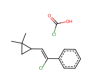 CC1(C)CC1C=C(Cl)c1ccccc1.O=C(O)Cl